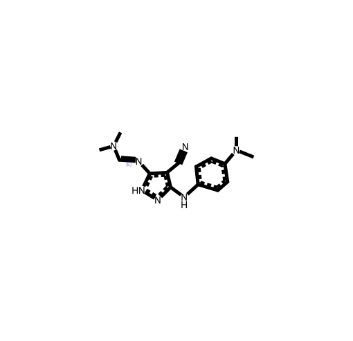 CN(C)/C=N/c1[nH]nc(Nc2ccc(N(C)C)cc2)c1C#N